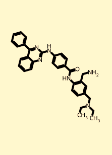 CCN(CC)Cc1ccc(NC(=O)c2ccc(Nc3nc(-c4ccccc4)c4ccccc4n3)cc2)c(CN)c1